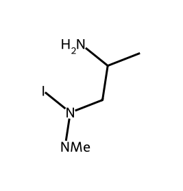 CNN(I)CC(C)N